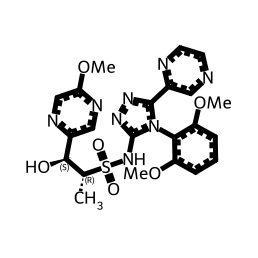 COc1cnc([C@H](O)[C@@H](C)S(=O)(=O)Nc2nnc(-c3cnccn3)n2-c2c(OC)cccc2OC)cn1